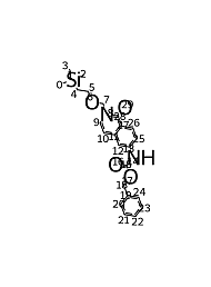 C[Si](C)(C)CCOCn1ccc2cc(NC(=O)OCc3ccccc3)ccc2c1=O